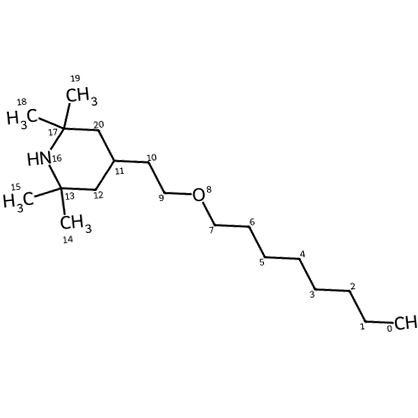 CCCCCCCCOCCC1CC(C)(C)NC(C)(C)C1